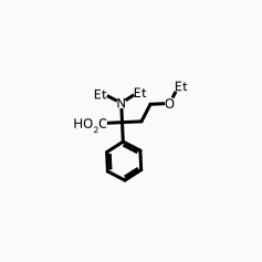 CCOCCC(C(=O)O)(c1ccccc1)N(CC)CC